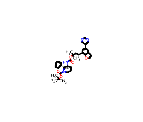 CC(C)(C)OC(=O)N1CCC[C@@H](NC(=O)OC(C)(C)CCc2cc(-c3cncnc3)cc3ccoc23)[C@H]1c1ccccc1